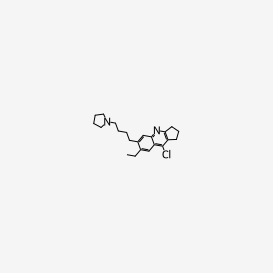 CCc1cc2c(Cl)c3c(nc2cc1CCCCN1CCCC1)CCC3